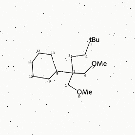 COCC(CCC(C)(C)C)(COC)C1CCCCC1